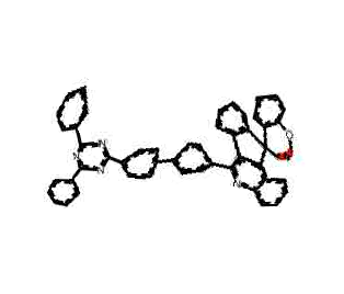 c1ccc(-c2nc(-c3ccccc3)nc(-c3ccc(-c4ccc(-c5nc6ccccc6c6c5-c5ccccc5C65c6ccccc6Oc6ccccc65)cc4)cc3)n2)cc1